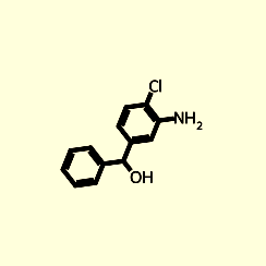 Nc1cc(C(O)c2ccccc2)ccc1Cl